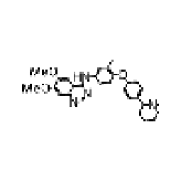 COc1cc2ncnc(Nc3ccc(Oc4ccc(C5CCCC[N]5)cc4)c(C)c3)c2cc1OC